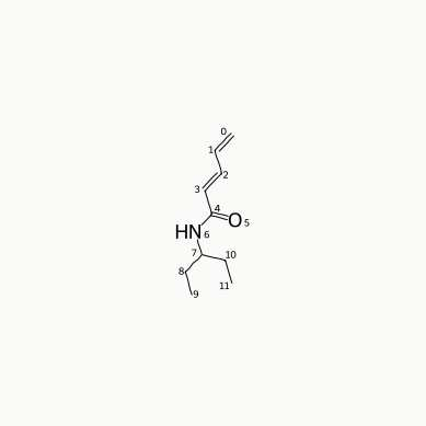 C=C/C=C/C(=O)NC(CC)CC